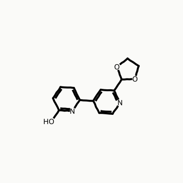 Oc1cccc(-c2ccnc(C3OCCO3)c2)n1